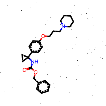 O=C(NC1(c2ccc(OCCCN3CCCCC3)cc2)CC1)OCc1ccccc1